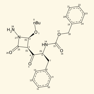 CCCCO[C@H]1[C@@H](C(=O)[C@H](Cc2ccccc2)NC(=O)OCc2ccccc2)C(=O)N1N